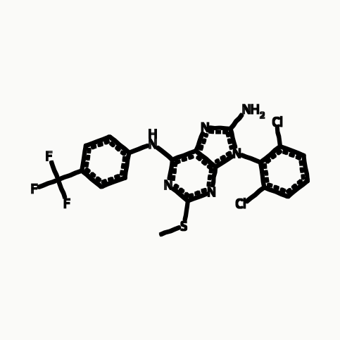 CSc1nc(Nc2ccc(C(F)(F)F)cc2)c2nc(N)n(-c3c(Cl)cccc3Cl)c2n1